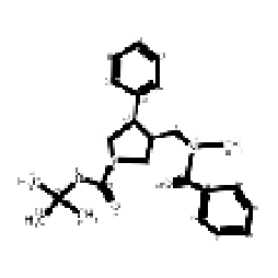 CN(C[C@H]1CN(C(=O)OC(C)(C)C)C[C@H]1c1ccccc1)C(=O)c1ccccc1